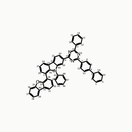 c1ccc(-c2ccc(-c3nc(-c4ccccc4)nc(-c4ccc5c6cccc(-c7cccc8c7oc7ccccc78)c6n(-c6ccccc6)c5c4)n3)cc2)cc1